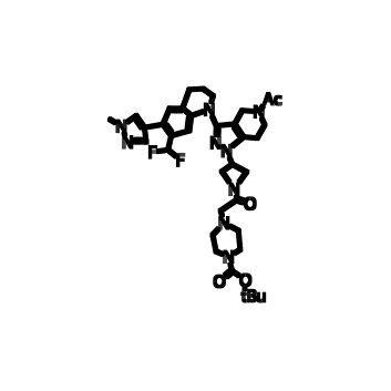 CC(=O)N1CCc2c(c(N3CCCc4cc(-c5cnn(C)c5)c(C(F)F)cc43)nn2C2CN(C(=O)CN3CCN(C(=O)OC(C)(C)C)CC3)C2)C1